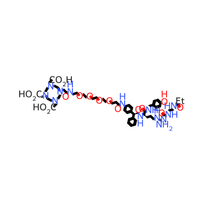 CCC(=O)NCCNC(=O)/N=C(/N)NCCC[C@@H](NC(=O)[C@@H](c1ccccc1)c1ccc(NC(=O)CCOCCOCCOCCOCCNC(=O)CN2CCN(CC(=O)O)CCN(CC(=O)O)CCN(CC(=O)O)CC2)cc1)C(=O)NCc1ccc(O)cc1